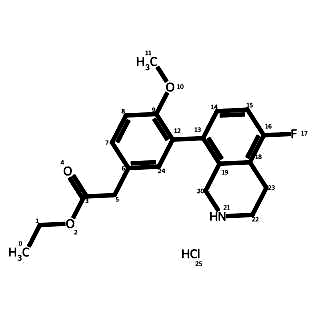 CCOC(=O)Cc1ccc(OC)c(-c2ccc(F)c3c2CNCC3)c1.Cl